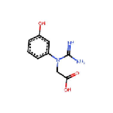 N=C(N)N(CC(=O)O)c1cccc(O)c1